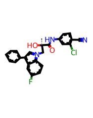 C[C@@](O)(Cn1cc(-c2ccccc2)c2cc(F)ccc21)C(=O)Nc1ccc(C#N)c(Cl)c1